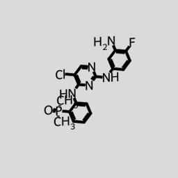 CP(C)(=O)c1ccccc1Nc1nc(Nc2ccc(F)c(N)c2)ncc1Cl